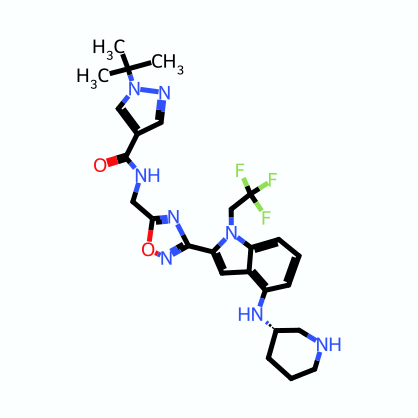 CC(C)(C)n1cc(C(=O)NCc2nc(-c3cc4c(N[C@H]5CCCNC5)cccc4n3CC(F)(F)F)no2)cn1